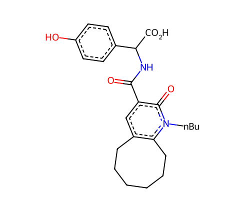 CCCCn1c2c(cc(C(=O)NC(C(=O)O)c3ccc(O)cc3)c1=O)CCCCCC2